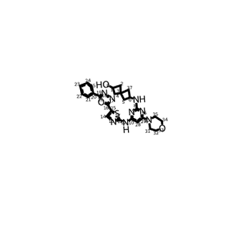 OC1CC2(C1)CC(Nc1nc(Nc3ncc(-c4nnc(-c5ccccc5)o4)s3)cc(N3CCOCC3)n1)C2